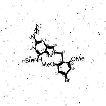 CCCCNc1nc(N=[N+]=[N-])nc2cn(Cc3c(OC)cc(Br)cc3OC)nc12